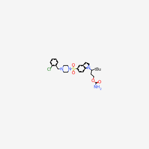 CC(C)(C)C(CCOC(N)=O)n1ccc2cc(S(=O)(=O)N3CCN(Cc4ccccc4Cl)CC3)ccc21